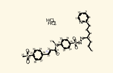 CCCC(CCCc1ccccn1)N=NS(=O)(=O)c1ccc(N(C)C(=O)/C=C/c2ccc(S(C)(=O)=O)cc2)cc1.Cl.Cl